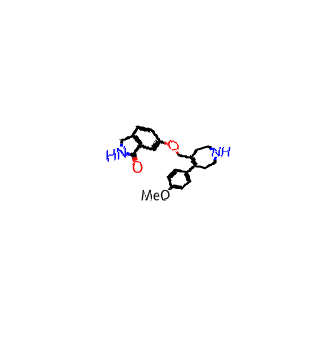 COc1ccc(C2=C(COc3ccc4c(c3)C(=O)NC4)CCNCC2)cc1